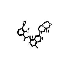 COc1c(C#N)cccc1C(C)Nc1nnc(C)c2cnc(N3CCN4CCOC[C@H]4C3)cc12